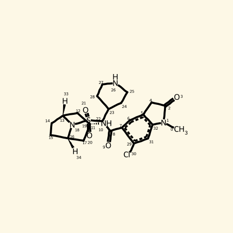 CN1C(=O)Cc2cc(C(=O)N[C@H]3C[C@H]4CC[C@@H](C3)N4S(=O)(=O)CC3CCNCC3)c(Cl)cc21